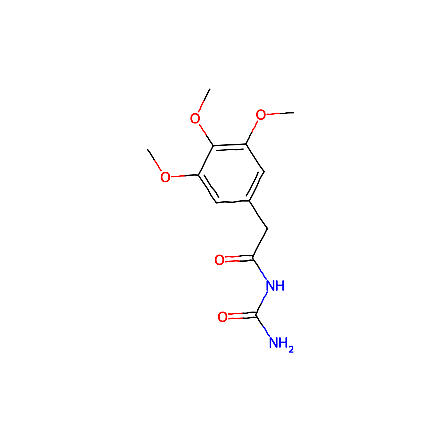 COc1cc(CC(=O)NC(N)=O)cc(OC)c1OC